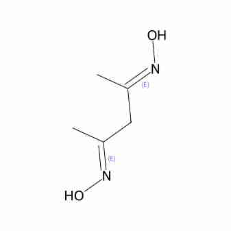 C/C(C/C(C)=N/O)=N\O